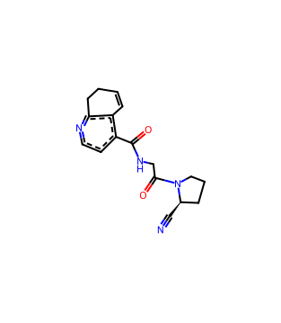 N#C[C@@H]1CCCN1C(=O)CNC(=O)c1ccnc2c1C=CCC2